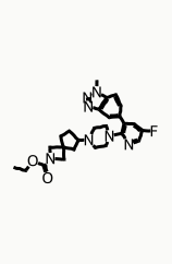 CCOC(=O)N1CC2(CCC(N3CCN(c4ncc(F)cc4-c4ccc5c(c4)nnn5C)CC3)C2)C1